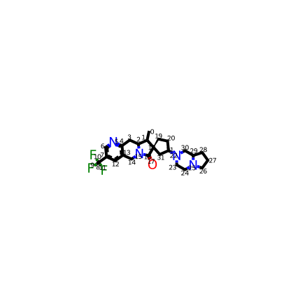 CC1C2Cc3ncc(C(F)(F)F)cc3CN2C(=O)[C@]12CCC(N1CCN3CCCC3C1)C2